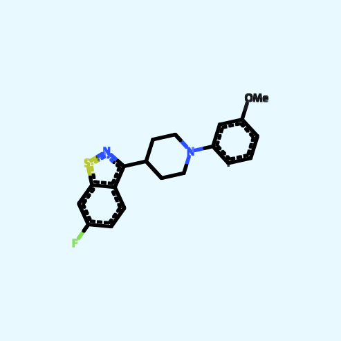 COc1cc[c]c(N2CCC(c3nsc4cc(F)ccc34)CC2)c1